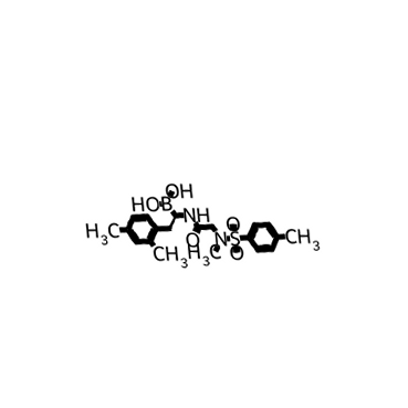 Cc1ccc(S(=O)(=O)N(C)CC(=O)N[C@@H](Cc2ccc(C)cc2C)B(O)O)cc1